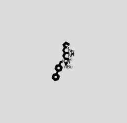 CCCCc1ncc(/C=C(/Cc2cccs2)c2nnn[nH]2)n1Cc1ccc(-c2ccccc2)cc1